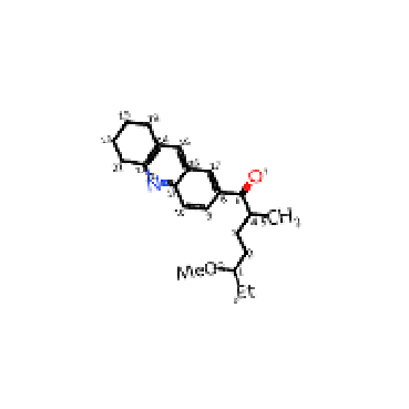 CCC(CCC(C)C(=O)c1ccc2nc3c(cc2c1)CCCC3)OC